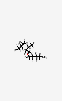 CC(C)(N)C(F)(F)C(F)(OC(C)(C)C1(F)OC(F)(C(F)(F)F)C(F)(F)OC1(F)C(F)(F)F)C(F)(F)F